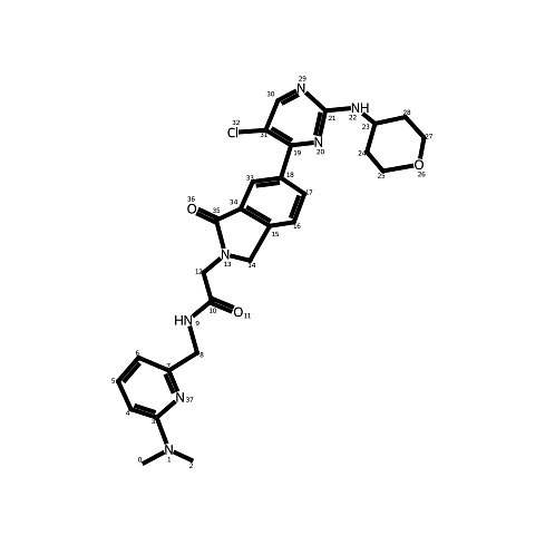 CN(C)c1cccc(CNC(=O)CN2Cc3ccc(-c4nc(NC5CCOCC5)ncc4Cl)cc3C2=O)n1